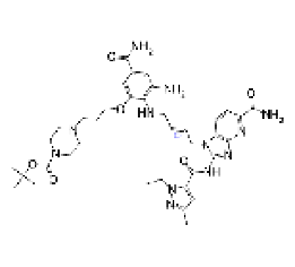 CCn1nc(C)cc1C(=O)Nc1nc2nc(C(N)=O)ccc2n1C/C=C/CNc1c(N)cc(C(N)=O)cc1OCCCN1CCN(C(=O)OC(C)(C)C)CC1